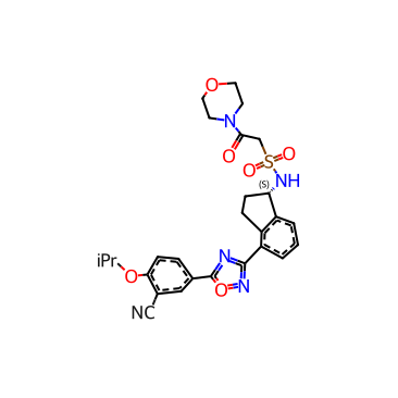 CC(C)Oc1ccc(-c2nc(-c3cccc4c3CC[C@@H]4NS(=O)(=O)CC(=O)N3CCOCC3)no2)cc1C#N